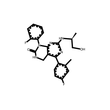 Cc1cc(F)ccc1-c1nc(N[C@@H](C)CO)nc2c1CNC(=O)N2c1ccccc1F